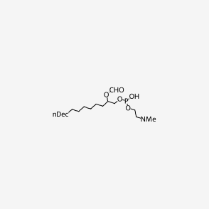 CCCCCCCCCCCCCCCCC(COP(O)OCCNC)OC=O